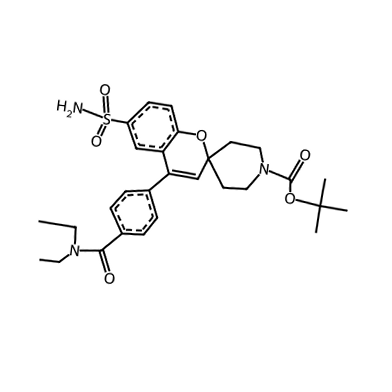 CCN(CC)C(=O)c1ccc(C2=CC3(CCN(C(=O)OC(C)(C)C)CC3)Oc3ccc(S(N)(=O)=O)cc32)cc1